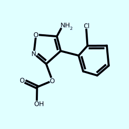 Nc1onc(OC(=O)O)c1-c1ccccc1Cl